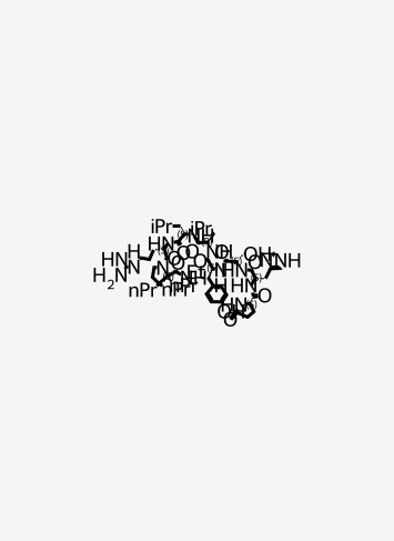 CCCC1(CCC)CCN(C(=O)[C@H](CCCNC(=N)N)NC(=O)[C@H](CC(C)C)NC(=O)[C@@H](CC(C)C)NC(=O)[C@H](Cc2ccc(O)cc2)NC(=O)[C@H](CO)NC(=O)[C@H](Cc2c[nH]cn2)NC(=O)[C@@H]2CCC(=O)N2)[C@]1(CCC)C(=O)NCC